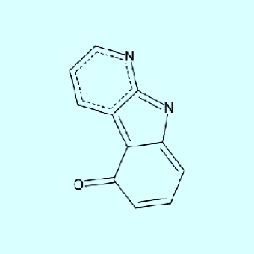 O=C1C=CC=C2N=c3ncccc3=C12